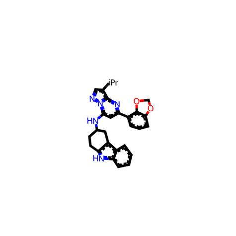 CC(C)c1cnn2c(NC3CCc4[nH]c5ccccc5c4C3)cc(-c3cccc4c3OCO4)nc12